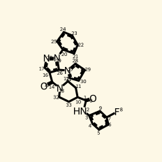 O=C(Nc1cccc(F)c1)C1CCN(C(=O)c2cnn(-c3ccccc3)c2-n2cccc2)CC1